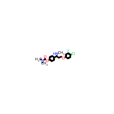 CNC(CCOc1ccc(Cl)c(F)c1)c1ccc(OC(=O)N(C)C)cc1